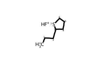 CCCC1CCCS1.F